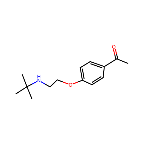 CC(=O)c1ccc(OCCNC(C)(C)C)cc1